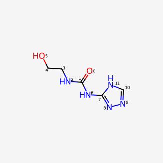 O=C(NCCO)Nc1nnc[nH]1